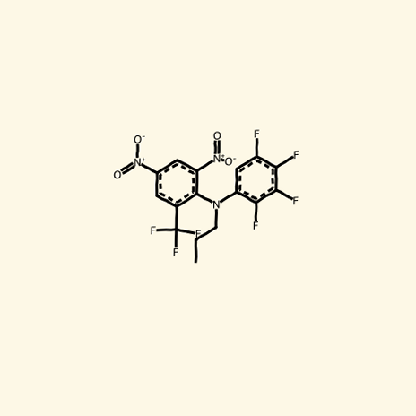 CCCN(c1cc(F)c(F)c(F)c1F)c1c([N+](=O)[O-])cc([N+](=O)[O-])cc1C(F)(F)F